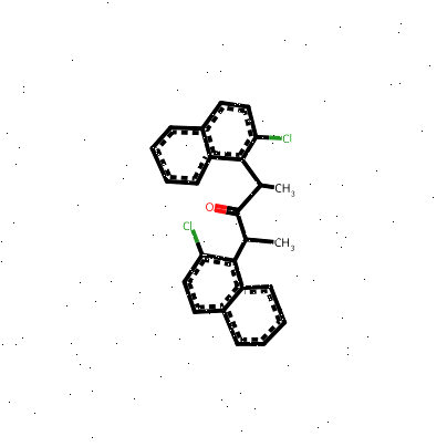 CC(C(=O)C(C)c1c(Cl)ccc2ccccc12)c1c(Cl)ccc2ccccc12